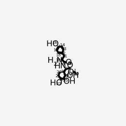 CCOC(=O)[C@@H](NC(=O)[C@@H](N)Cc1ccc(O)cc1)[C@@H]1CC[C@H](O)[C@H](O)[C@H]1O